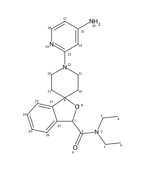 CCN(CC)C(=O)C1OC2(CCN(c3cc(N)ccn3)CC2)c2ccccc21